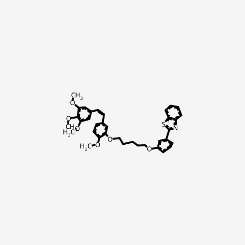 COc1ccc(/C=C\c2cc(OC)c(OC)c(OC)c2)cc1OCCCCCOc1cccc(-c2nc3ccccc3s2)c1